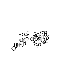 CC(=O)OC[C@H](F)[C@H]1O[C@@H](OP(=O)(O)OP(O)(=S)OC[C@H]2O[C@@H](n3cnc4c(NCc5ccccc5)ncnc43)[C@H](O)[C@@H]2O)[C@@H](OC(C)=O)[C@@H](OC(C)=O)[C@@H]1OC(C)=O